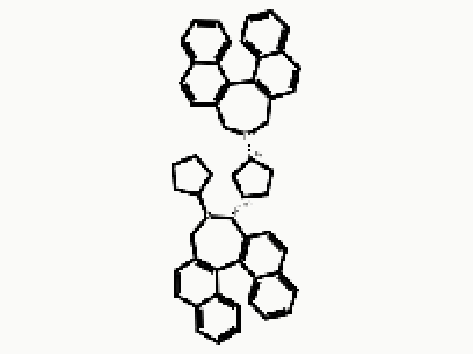 c1ccc2c3c(ccc2c1)CP([C@@H]1CC[C@H](C2c4ccc5ccccc5c4-c4c(ccc5ccccc45)CP2C2CCCC2)C1)Cc1ccc2ccccc2c1-3